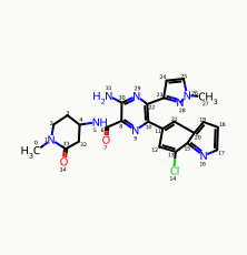 CN1CCC(NC(=O)c2nc(-c3cc(Cl)c4ncccc4c3)c(-c3ccn(C)n3)nc2N)CC1=O